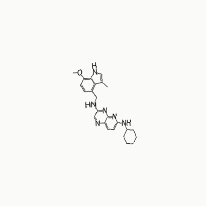 COc1ccc(CNc2cnc3ccc(NC4CCCCC4)nc3n2)c2c(C)c[nH]c12